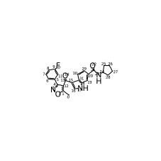 Cc1onc(-c2cccc(F)c2)c1C(=O)c1c[nH]c2cc(C(=O)NC3CCCC3)ccc12